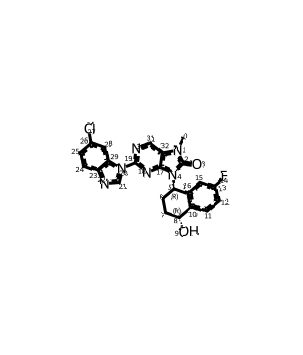 Cn1c(=O)n([C@@H]2CC[C@@H](O)c3ccc(F)cc32)c2nc(-n3cnc4ccc(Cl)cc43)ncc21